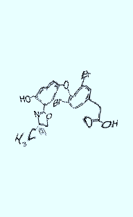 C[C@H]1COC(c2cc(Oc3c(Br)cc(CC(=O)O)cc3Br)ccc2O)=N1